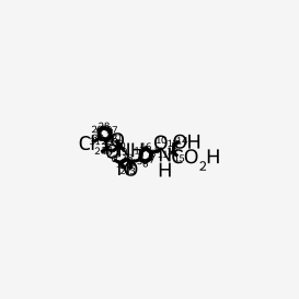 Cc1noc(-c2ccc(C(=O)NC(CO)C(=O)O)cc2)c1NC(=O)OC(C)c1ccccc1Cl